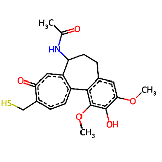 COc1cc2c(c(OC)c1O)-c1ccc(CS)c(=O)cc1C(NC(C)=O)CC2